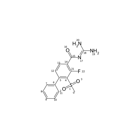 CS(=O)(=O)c1c(-c2ccccc2)ccc(C(=O)N=C(N)N)c1F